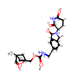 CC12COC(COC(=O)NCc3ccc4c(c3)C(=O)N(C3CCC(=O)NC3=O)C4)(C1)C2